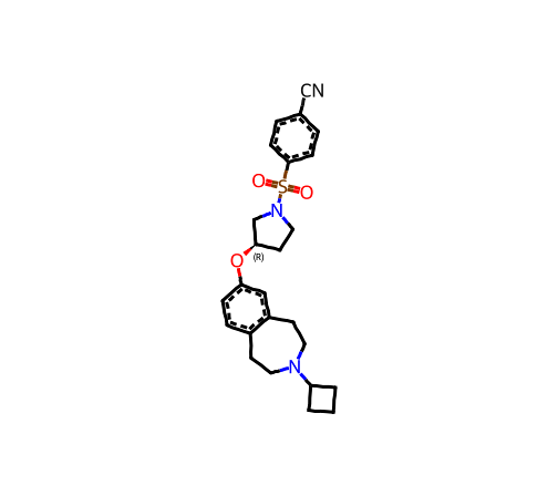 N#Cc1ccc(S(=O)(=O)N2CC[C@@H](Oc3ccc4c(c3)CCN(C3CCC3)CC4)C2)cc1